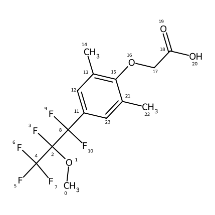 COC(F)(C(F)(F)F)C(F)(F)c1cc(C)c(OCC(=O)O)c(C)c1